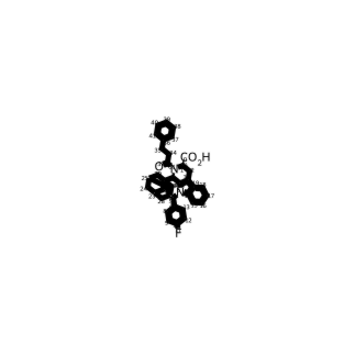 O=C(O)[C@@H]1Cc2c(n(Cc3ccc(F)cc3)c3ccccc23)[C@@H](C23CC4CC(CC(C4)C2)C3)N1C(=O)CCc1ccccc1